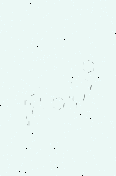 C/C(=C\C=C/N(C=O)c1ccc(F)cc1)C(=O)Nc1ccc(OC2=CC(Br)=CN/C2=C\C=N)c(F)c1